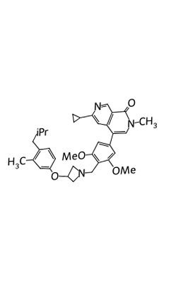 COc1cc(-c2cn(C)c(=O)c3cnc(C4CC4)cc23)cc(OC)c1CN1CC(Oc2ccc(CC(C)C)c(C)c2)C1